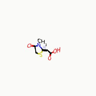 CN1C(=O)CS/C1=C\C(=O)O